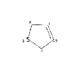 [C]1=CCSC1